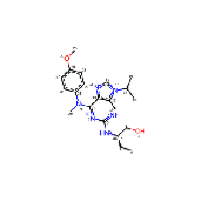 CC[C@H](CO)NC(=N)/N=C(\c1ncn(C(C)C)c1C)N(C)c1ccc(OC)cc1